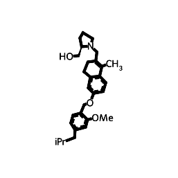 COc1cc(CC(C)C)ccc1COc1ccc2c(c1)CCC(CN1CCC[C@@H]1CO)=C2C